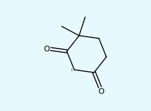 CC1(C)CCC(=O)[C]C1=O